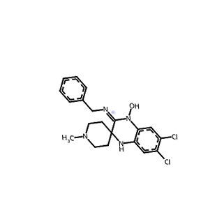 CN1CCC2(CC1)Nc1cc(Cl)c(Cl)cc1N(O)/C2=N/Cc1ccccc1